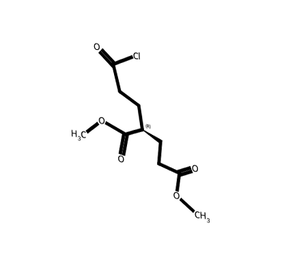 COC(=O)CC[C@H](CCC(=O)Cl)C(=O)OC